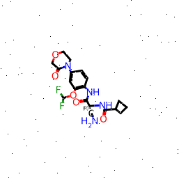 NC[C@@H](NC(=O)C1CCC1)C(=O)Nc1ccc(N2CCOCC2=O)cc1OC(F)F